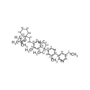 CCc1cncc(-c2ccc(C(CC)(CC)c3ccc(CCC4(O[Si](C)(C)C)CCCCC4)c(C)c3)cc2C)c1